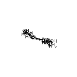 NC[C@H](NC(=O)c1ccc(C#CC#Cc2ccc(NC(=O)CN[C@@H]3C[C@H]4CC[C@@H]3C4)cc2)cc1)C(=O)NO